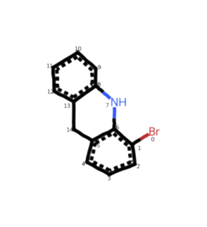 Brc1cccc2c1Nc1ccccc1C2